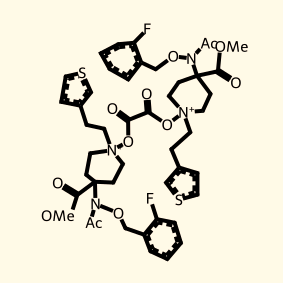 COC(=O)C1(N(OCc2ccccc2F)C(C)=O)CC[N+](CCc2ccsc2)(OC(=O)C(=O)O[N+]2(CCc3ccsc3)CCC(C(=O)OC)(N(OCc3ccccc3F)C(C)=O)CC2)CC1